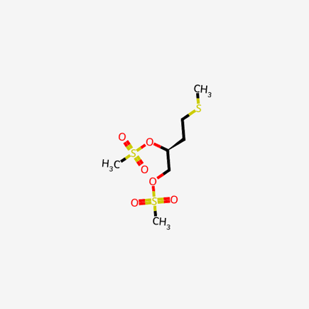 CSCC[C@@H](COS(C)(=O)=O)OS(C)(=O)=O